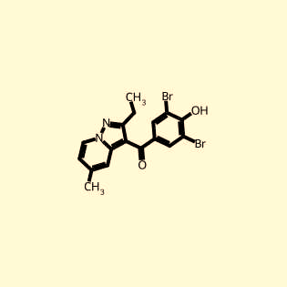 CCc1nn2ccc(C)cc2c1C(=O)c1cc(Br)c(O)c(Br)c1